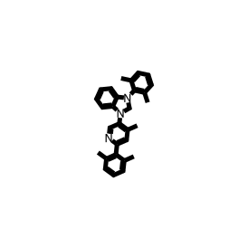 Cc1cc(-c2c(C)cccc2C)ncc1N1CN(c2c(C)cccc2C)c2ccccc21